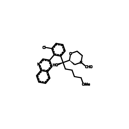 COCCCC[C@](O)(c1cccc(Cl)c1-c1cnc2ccccc2c1)[C@H]1CN(C=O)CCO1